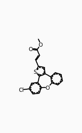 COC(=O)C=Cc1cc2c(s1)-c1cc(Cl)ccc1Oc1ccccc1-2